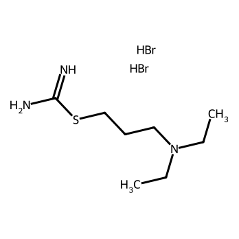 Br.Br.CCN(CC)CCCSC(=N)N